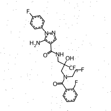 Nc1c(C(=O)NCC(O)(CN(CCF)C(=O)c2ccccc2F)C(F)(F)F)cnn1-c1ccc(F)cc1